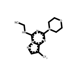 N#CCNc1nc(N2CCOCC2)nc2c(C(F)(F)F)cnn12